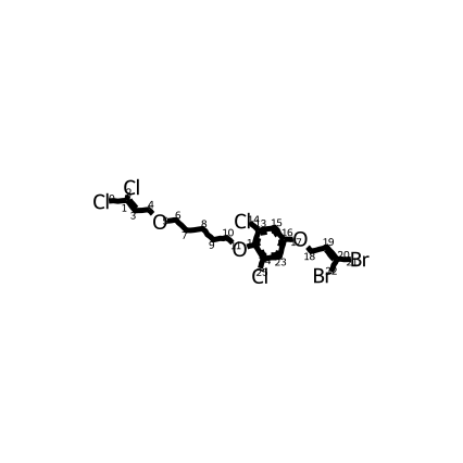 ClC(Cl)=CCOCCCCCOc1c(Cl)cc(OCC=C(Br)Br)cc1Cl